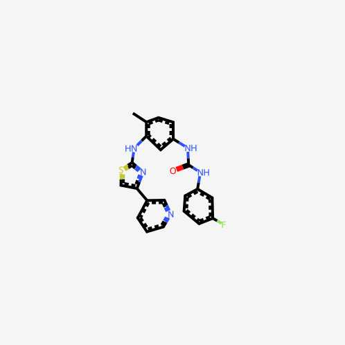 Cc1ccc(NC(=O)Nc2cccc(F)c2)cc1Nc1nc(-c2cccnc2)cs1